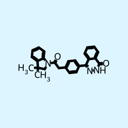 CC1(C)CN(C(=O)Cc2ccc(-c3n[nH]c(=O)c4ccccc34)cc2)c2ccccc21